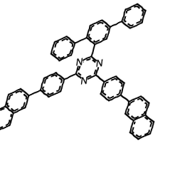 c1ccc(-c2ccc(-c3ccccc3)c(-c3nc(-c4ccc(-c5ccc6ccccc6c5)cc4)nc(-c4ccc(-c5ccc6ccccc6c5)cc4)n3)c2)cc1